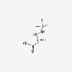 CC(C)(C)NNCC(=O)Cl.Cl